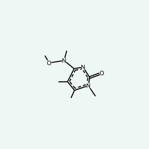 CON(C)c1nc(=O)n(C)c(C)c1C